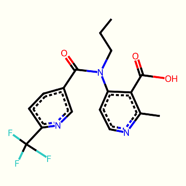 CCCN(C(=O)c1ccc(C(F)(F)F)nc1)c1ccnc(C)c1C(=O)O